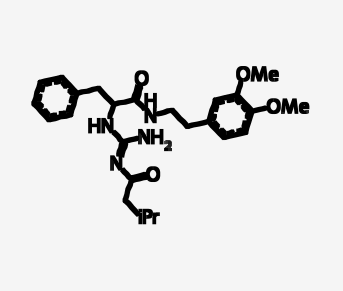 COc1ccc(CCNC(=O)C(Cc2ccccc2)NC(N)=NC(=O)CC(C)C)cc1OC